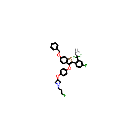 CC(F)(F)c1cc(F)ccc1-c1sc2cc(OCc3ccccc3)ccc2c1Oc1ccc(OC2CN(CCCF)C2)cc1